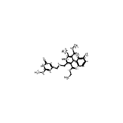 CCOC(=O)C1=C(COCc2cc(=O)[nH]c(OC)n2)NC(C)=C(C(=O)OC)C1c1cccc(Cl)c1Cl